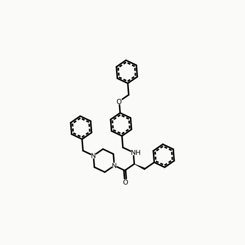 O=C([C@H](Cc1ccccc1)NCc1ccc(OCc2ccccc2)cc1)N1CCN(Cc2ccccc2)CC1